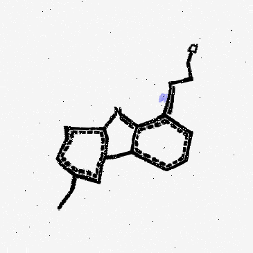 Cc1ccc2c(c1)-c1ccc/c(=C\CCl)c1=N2